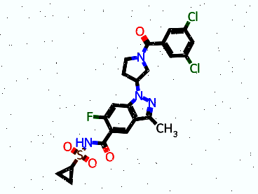 Cc1nn(C2CCN(C(=O)c3cc(Cl)cc(Cl)c3)C2)c2cc(F)c(C(=O)NS(=O)(=O)C3CC3)cc12